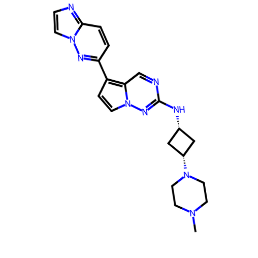 CN1CCN([C@H]2C[C@@H](Nc3ncc4c(-c5ccc6nccn6n5)ccn4n3)C2)CC1